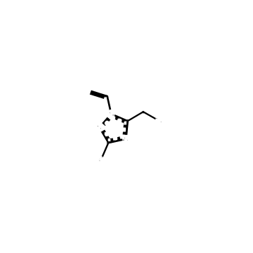 C=Cn1nc(Br)nc1CBr